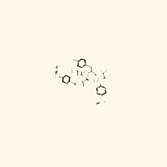 Cc1ccc(CC(NC(=O)C(C)OC(=O)c2ccc(N=C=O)cc2)C(=O)OC(C)C(=O)Oc2ccc(N=C=O)cc2)cc1OC#N